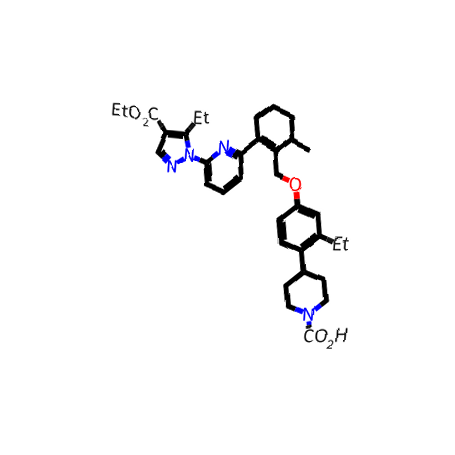 CCOC(=O)c1cnn(-c2cccc(C3=C(COc4ccc(C5CCN(C(=O)O)CC5)c(CC)c4)C(C)CCC3)n2)c1CC